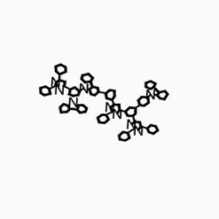 c1ccc(-c2cc(-c3cc(-c4ccc(-n5c6ccccc6c6ccccc65)cc4)cc(-c4cc(-c5cccc(-c6ccc7c(c6)c6ccccc6n7-c6cc(-c7cc(-c8ccccc8)nc(-c8ccccc8)n7)cc(-n7c8ccccc8c8ccccc87)c6)c5)nc(-c5ccccc5)n4)c3)nc(-c3ccccc3)n2)cc1